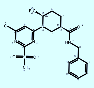 CS(=O)(=O)c1nc(Cl)cc(N2C[C@H](C(=O)NCc3ccccc3)CC[C@@H]2C(F)(F)F)n1